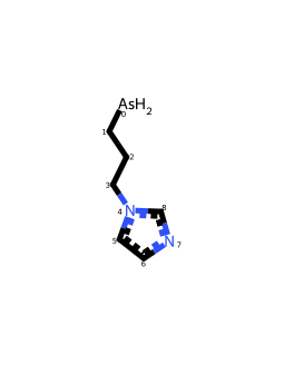 [AsH2]CCCn1ccnc1